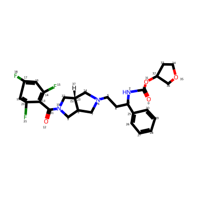 O=C(NC(CCN1CC2CN(C(=O)c3c(F)cc(F)cc3F)C[C@@H]2C1)c1ccccc1)OC1CCOC1